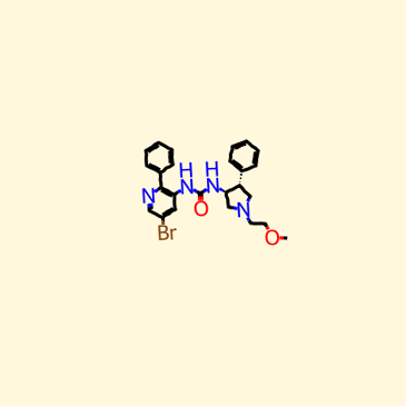 COCCN1C[C@@H](NC(=O)Nc2cc(Br)cnc2-c2ccccc2)[C@H](c2ccccc2)C1